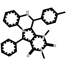 Cc1ccc(C2Nc3ccccc3-n3c(-c4ccccc4)c4c(=O)n(C)c(=O)n(C)c4c32)cc1